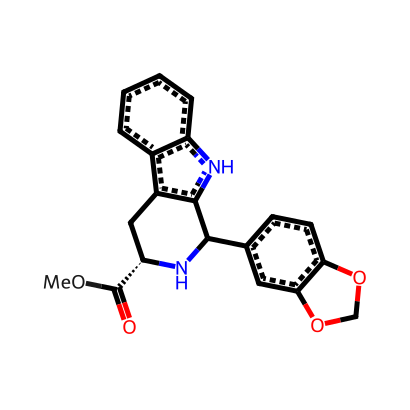 COC(=O)[C@@H]1Cc2c([nH]c3ccccc23)C(c2ccc3c(c2)OCO3)N1